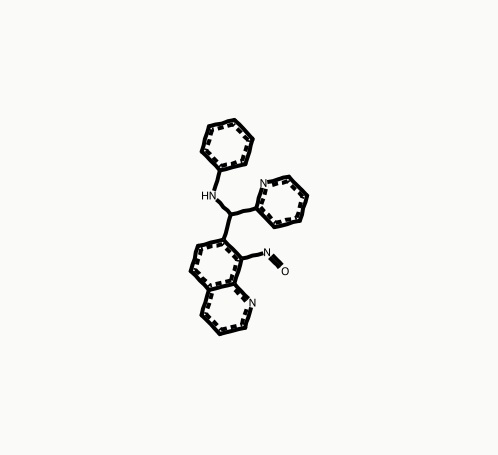 O=Nc1c(C(Nc2ccccc2)c2ccccn2)ccc2cccnc12